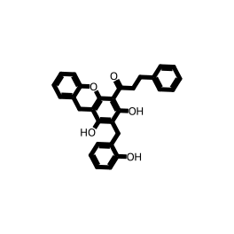 O=C(CCc1ccccc1)c1c(O)c(Cc2ccccc2O)c(O)c2c1Oc1ccccc1C2